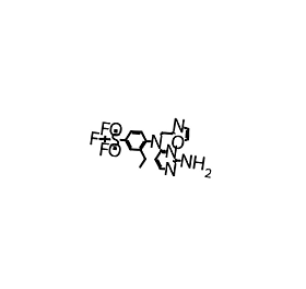 CCc1cc(S(=O)(=O)C(F)(F)F)ccc1N(Cc1ncco1)c1ccnc(N)n1